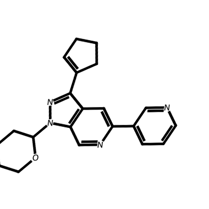 C1=C(c2nn(C3CCCCO3)c3cnc(-c4cccnc4)cc23)CCC1